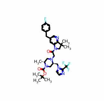 C[C@@H]1CN(CC(=O)N2CC(C)(C)c3ncc(Cc4ccc(F)cc4)cc32)[C@@H](Cn2ccnc2C(F)(F)F)CN1C(=O)OC(C)(C)C